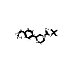 CC(C)(C)OC(=O)N1CCOC(c2ccc(/C=N\O)cc2)C1